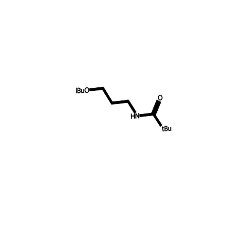 CC(C)COCCCNC(=O)C(C)(C)C